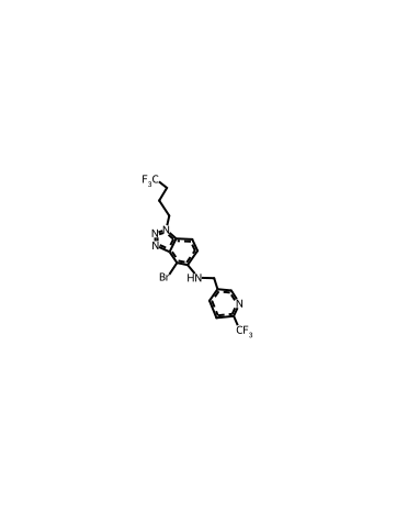 FC(F)(F)CCCn1nnc2c(Br)c(NCc3ccc(C(F)(F)F)nc3)ccc21